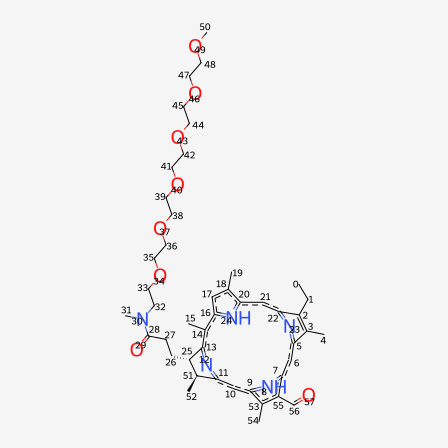 CCC1=C(C)c2cc3[nH]c(cc4nc(c(C)c5cc(C)c(cc1n2)[nH]5)[C@@H](CCC(=O)N(C)CCOCCOCCOCCOCCOCCOC)[C@@H]4C)c(C)c3C=O